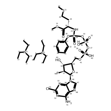 CCN(CC)CC.CCN(CC)CC.COC(=O)[C@H](CCSC)NP(=O)(Oc1ccccc1)OP(=O)(O)OP(=O)(O)OC[C@H]1O[C@@H](n2cnc3c(N)nc(Cl)nc32)[C@@H](F)[C@@H]1O